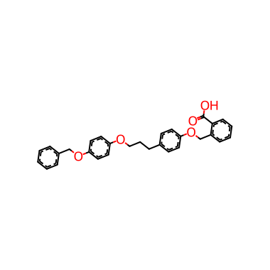 O=C(O)c1ccccc1COc1ccc(CCCOc2ccc(OCc3ccccc3)cc2)cc1